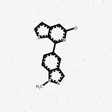 Cn1ncc2cc(-c3nc(Cl)cc4ccsc34)ccc21